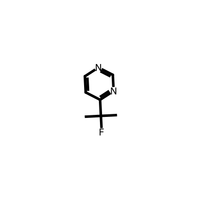 CC(C)(F)c1ccncn1